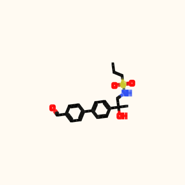 CCCS(=O)(=O)NCC(C)(O)c1ccc(-c2ccc(C=O)cc2)cc1